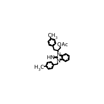 CC(=O)OCC(Cc1ccc(C)cc1)n1c(=N)n(Cc2ccc(C)cc2)c2ccccc21